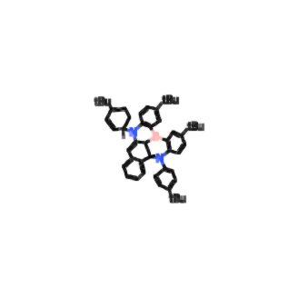 CC(C)(C)C1=CCC(C)(N2C3=Cc4ccccc4C4(C)C3B(c3cc(C(C)(C)C)ccc32)c2cc(C(C)(C)C)ccc2N4c2ccc(C(C)(C)C)cc2)C=C1